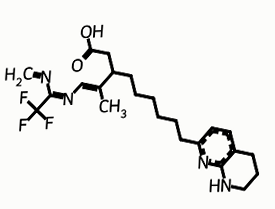 C=N/C(=N\C=C(/C)C(CCCCCCc1ccc2c(n1)NCCC2)CC(=O)O)C(F)(F)F